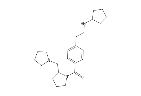 O=C(c1ccc(CCNC2CCCC2)cc1)N1CCCC1CN1CCCC1